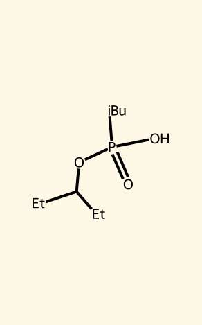 CCC(CC)OP(=O)(O)C(C)CC